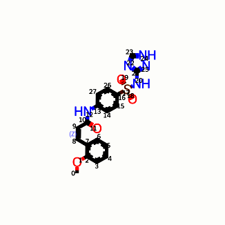 COc1ccccc1/C=C\C(=O)Nc1ccc(S(=O)(=O)Nc2nc[nH]n2)cc1